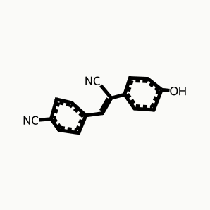 N#C/C(=C\c1ccc(C#N)cc1)c1ccc(O)cc1